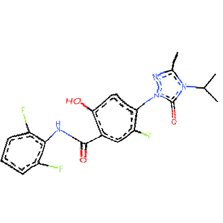 Cc1nn(-c2cc(O)c(C(=O)Nc3c(F)cccc3F)cc2F)c(=O)n1C(C)C